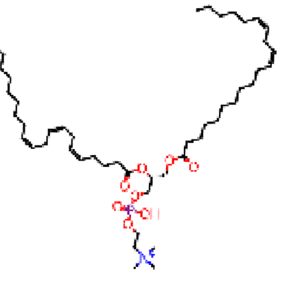 CCCCC/C=C\C/C=C\CCCCCCCCCC(=O)OC[C@H](COP(=O)(O)OCC[N+](C)(C)C)OC(=O)CCC/C=C\C/C=C\C/C=C\CCCCCCCC